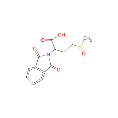 C[S+]([O-])CCC(C(=O)O)N1C(=O)c2ccccc2C1=O